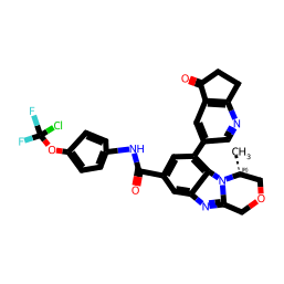 C[C@@H]1COCc2nc3cc(C(=O)Nc4ccc(OC(F)(F)Cl)cc4)cc(-c4cnc5c(c4)C(=O)CC5)c3n21